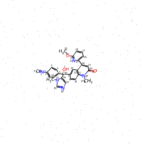 [C-]#[N+]c1ccc([C@@](O)(c2ccc3c(c2)c(-c2cccc(OC)n2)cc(=O)n3C)c2cncn2C)cc1